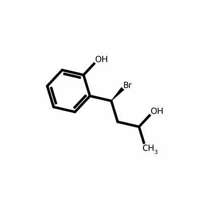 CC(O)C[C@H](Br)c1ccccc1O